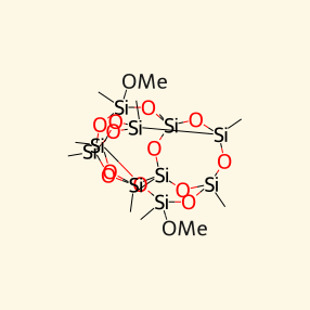 CO[Si]1(C)O[Si]2(C)O[Si]3(C)O[Si]4(C)O[Si](C)(OC)O[Si]5(C)O[Si]3(C)O[Si](C)(O1)O[Si](C)(O5)[Si](C)(O2)O4